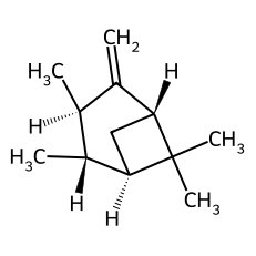 C=C1[C@H]2C[C@H]([C@H](C)[C@H]1C)C2(C)C